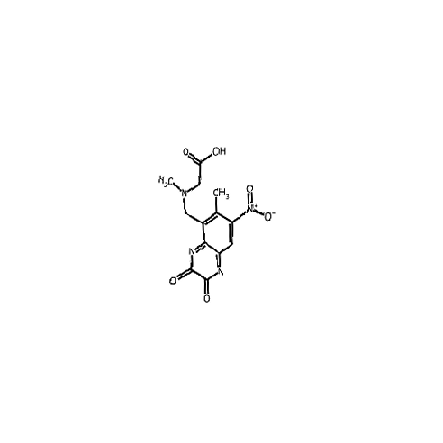 Cc1c([N+](=O)[O-])cc2c(c1CN(C)CC(=O)O)=NC(=O)C(=O)N=2